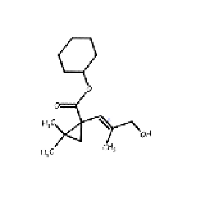 C/C(=C\C1(C(=O)OC2CCCCC2)CC1(C)C)CO